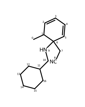 CC1C=CC=CC1(CC#N)NCC1CCCCC1